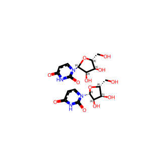 O=c1ccn([C@@H]2O[C@H](CO)[C@@H](O)[C@H]2O)c(=O)[nH]1.O=c1ccn([C@@H]2O[C@H](CO)[C@@H](O)[C@H]2O)c(=O)[nH]1